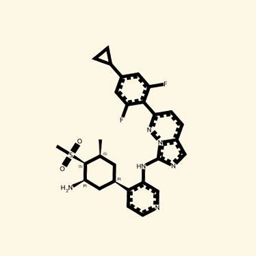 C[C@H]1C[C@@H](c2ccncc2Nc2ncc3ccc(-c4c(F)cc(C5CC5)cc4F)nn23)C[C@@H](N)[C@H]1S(C)(=O)=O